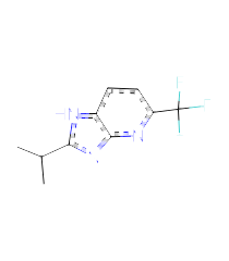 CC(C)c1nc2nc(C(F)(F)F)ccc2[nH]1